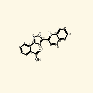 O=C(O)c1ccccc1-c1noc(-c2cnc3ccccc3n2)n1